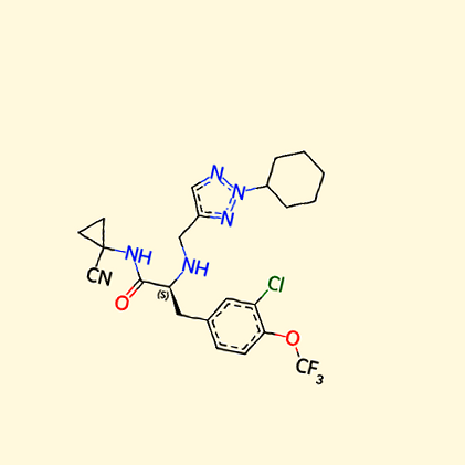 N#CC1(NC(=O)[C@H](Cc2ccc(OC(F)(F)F)c(Cl)c2)NCc2cnn(C3CCCCC3)n2)CC1